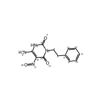 Nc1[nH]c(=O)n(CCc2ccccc2)c(=O)c1N=O